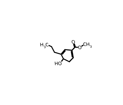 CCCC1=CC(C(=O)OC)=CCC1O